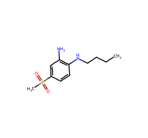 CCCCNc1ccc(S(C)(=O)=O)cc1N